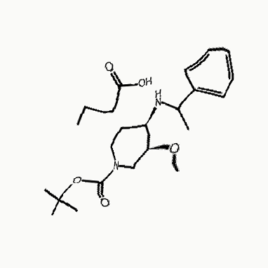 CCCC(=O)O.CO[C@H]1CN(C(=O)OC(C)(C)C)CC[C@H]1NC(C)c1ccccc1